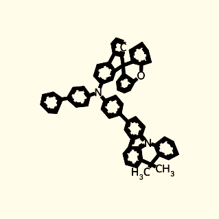 CC1(C)c2ccccc2-n2c3ccc(-c4ccc(N(c5ccc(-c6ccccc6)cc5)c5ccc6c(c5)C5(c7ccccc7Oc7ccccc75)c5ccccc5-6)cc4)cc3c3cccc1c32